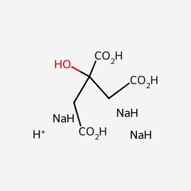 O=C(O)CC(O)(CC(=O)O)C(=O)O.[H+].[NaH].[NaH].[NaH]